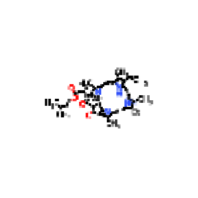 C=Cc1c(C)c2cc3nc(c4c5nc(cc6[nH]c(cc1[nH]2)c(C)c6CC)C(C)=C5C(=O)C4C(=O)OC)C(CCC(=O)OCC=C(C)C)C3C